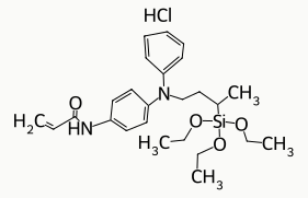 C=CC(=O)Nc1ccc(N(CCC(C)[Si](OCC)(OCC)OCC)c2ccccc2)cc1.Cl